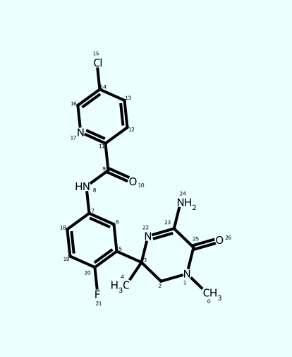 CN1CC(C)(c2cc(NC(=O)c3ccc(Cl)cn3)ccc2F)N=C(N)C1=O